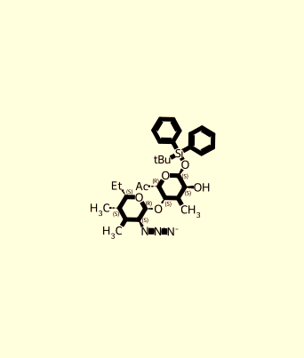 CC[C@@H]1O[C@H](O[C@H]2C(C)[C@H](O)[C@H](O[Si](c3ccccc3)(c3ccccc3)C(C)(C)C)O[C@H]2C(C)=O)[C@@H](N=[N+]=[N-])C(C)[C@@H]1C